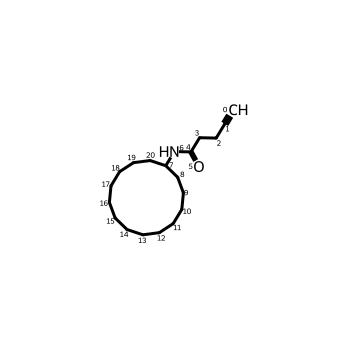 C#CCCC(=O)NC1CCCCCCCCCCCCC1